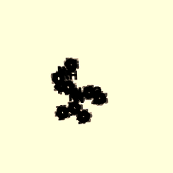 C1=Cc2ccc3cc(-c4nc(-c5cc(-c6ccccc6)cc(-c6ccccc6)c5)nc(-c5ccc6oc7ccccc7c6c5)n4)ccc3c2C2NN(c3ccccc3)N=C12